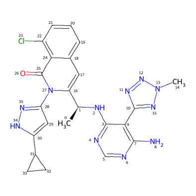 C[C@H](Nc1ncnc(N)c1-c1nnn(C)n1)c1cc2cccc(Cl)c2c(=O)n1-c1cc(C2CC2)[nH]n1